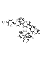 CN1CCN([C@H]2CCN3c4ccc(Nc5nc(Nc6ccn7ccnc7c6P(C)(C)=O)c6cc[nH]c6n5)cc4OC[C@H]3C2)CC1